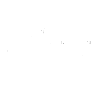 CC(C)C(C)c1cc(N2CCNCC2)no1